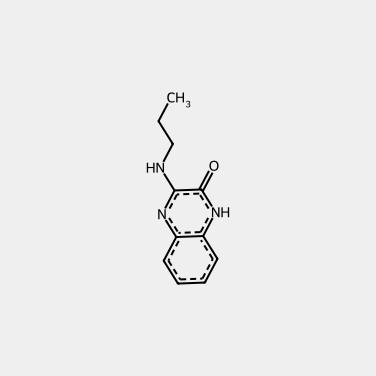 CCCNc1nc2ccccc2[nH]c1=O